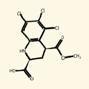 COC(=O)[C@H]1C[C@@H](C(=O)O)Nc2cc(Cl)c(Cl)c(Cl)c21